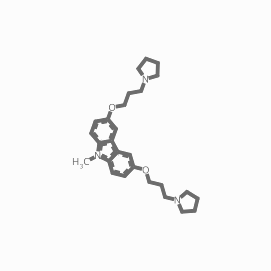 Cn1c2ccc(OCCCN3CCCC3)cc2c2cc(OCCCN3CCCC3)ccc21